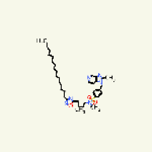 CCCCCCCCCCCCCCCCCc1noc(CC(C)CCN(C)S(=O)(=O)c2ccc(Cn3c(C)nc4cnccc43)cc2)n1